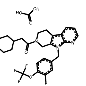 O=C(CC1CCCCC1)N1CCc2c(n(Cc3ccc(OC(F)(F)F)c(F)c3)c3ncccc23)C1.O=C(O)O